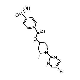 C[C@@H]1C[C@@H](OC(=O)c2ccc([N+](=O)O)cc2)CCN1c1ncc(Br)cn1